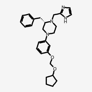 c1ccc(C[C@H]2CN(c3cccc(OCOC4CCCC4)c3)CCN2Cc2ncc[nH]2)cc1